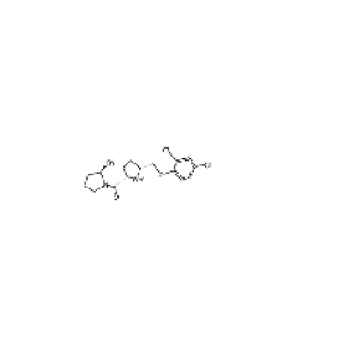 N#C[C@@H]1CCCN1C(=O)[C@@H]1CC[C@H](COc2ccc(Cl)cc2Cl)N1